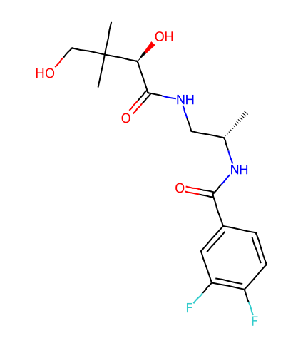 C[C@@H](CNC(=O)[C@H](O)C(C)(C)CO)NC(=O)c1ccc(F)c(F)c1